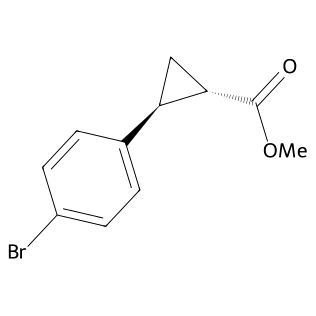 COC(=O)[C@H]1C[C@@H]1c1ccc(Br)cc1